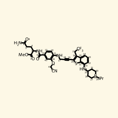 COC(=O)C(CCC(N)=O)NC(=O)c1ccc(NCC#Cc2sc3c(NC4CCN(C(C)C)CC4)cccc3c2CC(F)(F)F)c(OCC#N)c1